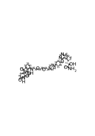 NC(=O)[C@@H](O)C[C@H]1CCc2sc3ncnc(O[C@H]4CC[C@H](N5CCN(CCOCCOCCNc6cccc7c6C(=O)N(C6CCC(=O)NC6=O)C7=O)CC5)CC4)c3c21